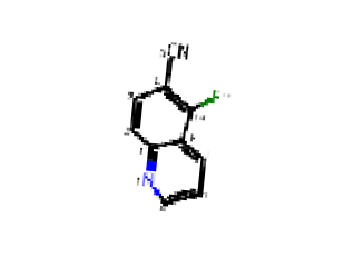 N#Cc1ccc2ncccc2c1F